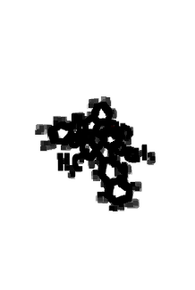 COC(=O)C(C)CC1(C[C@]2(CC(C)C(=O)OC)c3ccccc3-c3nc4ccccc4cc32)c2ccccc2-c2nc3ccccc3cc21